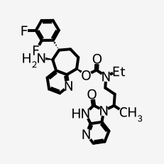 CCN(CCC(C)n1c(=O)[nH]c2ncccc21)C(=O)O[C@@H]1CC[C@@H](c2cccc(F)c2F)[C@H](N)c2cccnc21